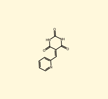 O=C1NC(=O)C(=Cc2ccccn2)C(=O)N1